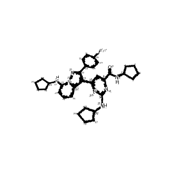 O=C(NC1CCCC1)c1cc(-c2c(-c3ccc(F)cc3)nn3c(NC4CCCC4)cccc23)nc(NC2CCCC2)n1